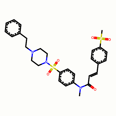 CN(C(=O)/C=C/c1ccc(S(C)(=O)=O)cc1)c1ccc(S(=O)(=O)N2CCN(CCc3ccccc3)CC2)cc1